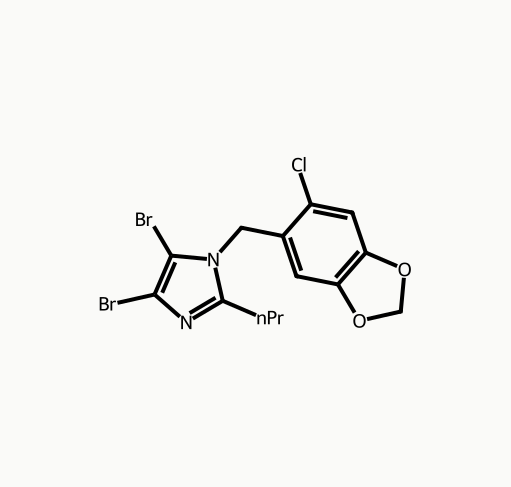 CCCc1nc(Br)c(Br)n1Cc1cc2c(cc1Cl)OCO2